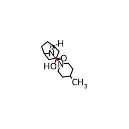 CC1CCN(C2CC3CC[C@@H](C2)N3C(=O)O)CC1